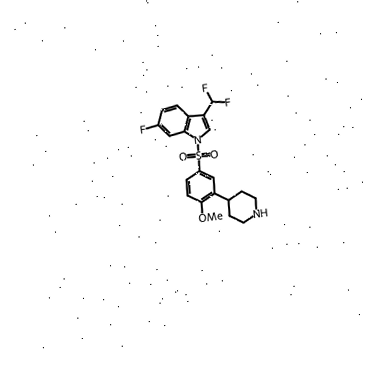 COc1ccc(S(=O)(=O)n2cc(C(F)F)c3ccc(F)cc32)cc1C1CCNCC1